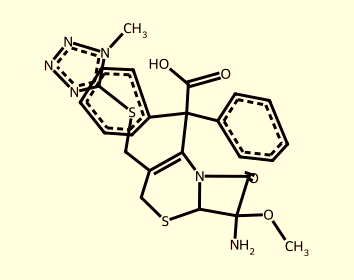 COC1(N)C(=O)N2C(C(C(=O)O)(c3ccccc3)c3ccccc3)=C(CSc3nnnn3C)CSC21